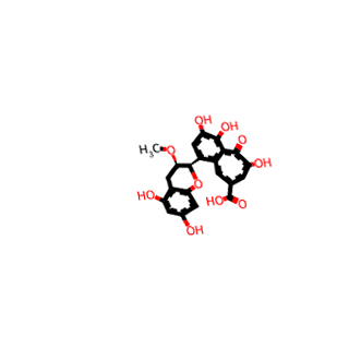 CO[C@@H]1Cc2c(O)cc(O)cc2O[C@@H]1c1cc(O)c(O)c2c(=O)c(O)cc(C(=O)O)cc12